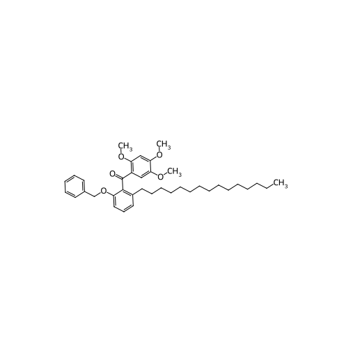 CCCCCCCCCCCCCCCc1cccc(OCc2ccccc2)c1C(=O)c1cc(OC)c(OC)cc1OC